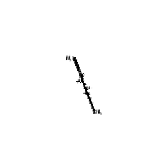 CCCCCCCCCCCCSCCC(=O)OCC(O)CSCCSCC(O)COC(=O)CCSCCCCCCCCCCCC